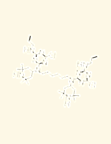 C=CCNc1nc(Cl)nc(N(CCCCCCN(c2nc(Cl)nc(NCC=C)n2)C2CC(C)(C)NC(C)(C)C2)C2CC(C)(C)NC(C)(C)C2)n1